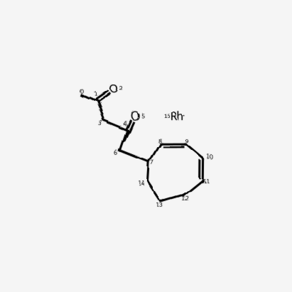 CC(=O)CC(=O)CC1C=CC=CCCC1.[Rh]